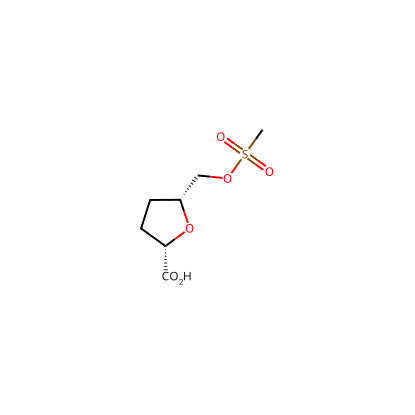 CS(=O)(=O)OC[C@H]1CC[C@@H](C(=O)O)O1